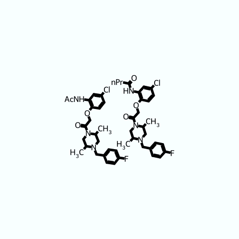 CC(=O)Nc1cc(Cl)ccc1OCC(=O)N1CC(C)N(Cc2ccc(F)cc2)CC1C.CCCC(=O)Nc1cc(Cl)ccc1OCC(=O)N1CC(C)N(Cc2ccc(F)cc2)CC1C